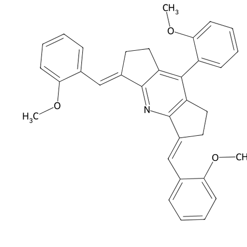 COc1ccccc1C=C1CCc2c1nc1c(c2-c2ccccc2OC)CCC1=Cc1ccccc1OC